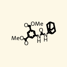 COC(=O)c1cc(NC(=O)NC2C3CC4CC(C3)CC2C4)cc(C(=O)OC)c1